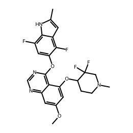 COc1cc(OC2CCN(C)CC2(F)F)c2c(Oc3cc(F)c4[nH]c(C)cc4c3F)ncnc2c1